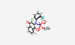 CC(C)(C)OC(=O)N(C1=C(Cl)C(=O)c2ccccc2C1=O)c1ccc(F)cc1F